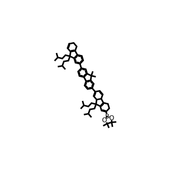 CC(C)CCC1(CCC(C)C)C2=C(CCC=C2)c2ccc(-c3ccc4c(c3)C(C)(C)c3cc(C5=CC6C(C=C5)C5=C(C=C(B7OC(C)(C)C(C)(C)O7)CC5)C6(CCC(C)C)CCC(C)C)ccc3-4)cc21